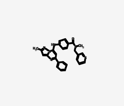 Cc1cc2nc(-c3ccccc3)cc(Nc3ccc(C(=O)N(C)Cc4cccnc4)cc3)n2n1